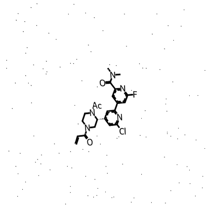 C=CC(=O)N1CCN(C(C)=O)[C@H](c2cc(Cl)nc(-c3cc(F)nc(C(=O)N(C)C)c3)c2)C1